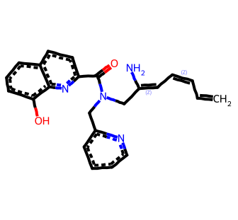 C=C/C=C\C=C(/N)CN(Cc1ccccn1)C(=O)c1ccc2cccc(O)c2n1